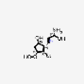 CC[C@@H]1[C@@H](/C=C/[C@H](N)O)[C@H](O)C[C@@H]1OO